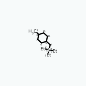 CC[N+](CC)(CC)CC1CCC(C)CC1